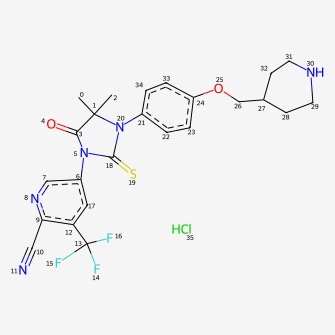 CC1(C)C(=O)N(c2cnc(C#N)c(C(F)(F)F)c2)C(=S)N1c1ccc(OCC2CCNCC2)cc1.Cl